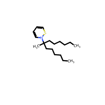 CCCCCCC(C)(CCCCCC)N1C=CC=CS1